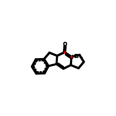 CC1=NC23Cc4ccccc4C2=CC12CCCN2C3=O